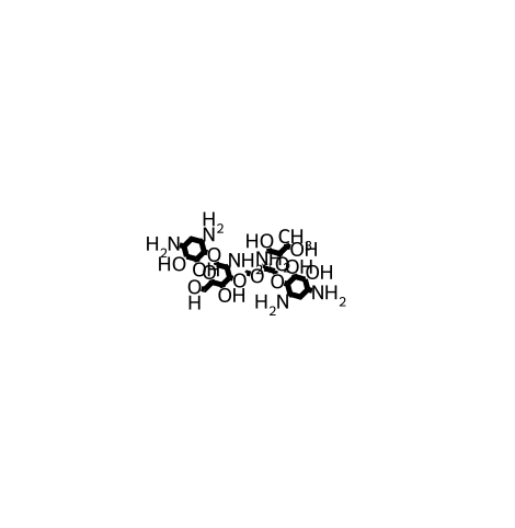 CC(O)C(CO)OC(OC1C(N)CC(N)C(O)C1O)[C@@H](N)OCOC1C(N)C(OC2C(N)CC(N)C(O)C2O)OC(CO)C1O